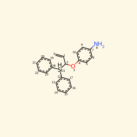 C=CC(Oc1ccc(N)cc1)[SiH](c1ccccc1)c1ccccc1